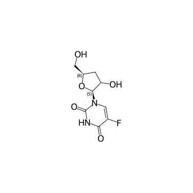 O=c1[nH]c(=O)n([C@H]2O[C@@H](CO)CC2O)cc1F